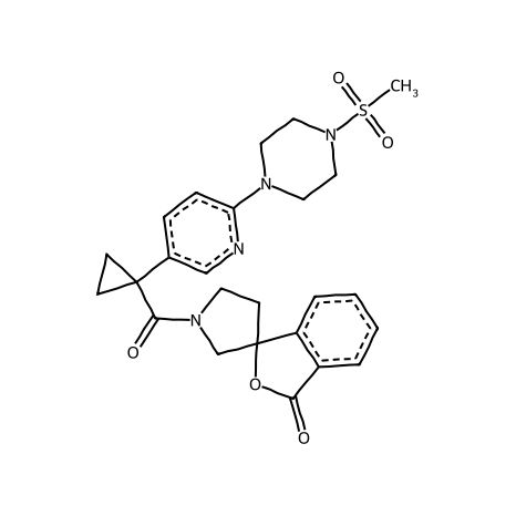 CS(=O)(=O)N1CCN(c2ccc(C3(C(=O)N4CCC5(C4)OC(=O)c4ccccc45)CC3)cn2)CC1